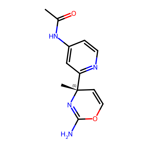 CC(=O)Nc1ccnc([C@]2(C)C=COC(N)=N2)c1